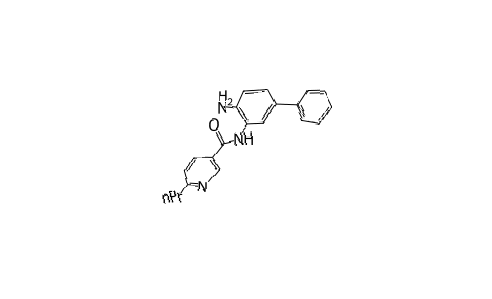 CCCc1ccc(C(=O)Nc2cc(-c3ccccc3)ccc2N)cn1